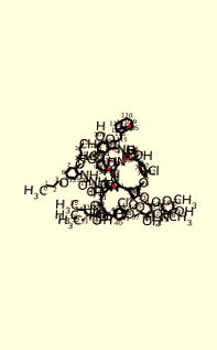 CCCCOc1ccc(OCCCC)c(NC(=O)NC(=O)C[C@@H]2CC(=O)[C@H](NC(=O)[C@H](CC)CC(C)C)[C@H](O)c3ccc(c(Cl)c3)Oc3cc4cc(c3O[C@@H]3O[C@H](CO)[C@@H](O)[C@H](O)[C@H]3O[C@H]3C[C@](C)(N)[C@H](O)[C@H](C)O3)Oc3ccc(cc3Cl)[C@@H](O)[C@@H]3NC(=O)[C@H](CC(=O)[C@@H]4NC2=O)c2ccc(O)c(c2)-c2c(O)cc(O)cc2[C@@H](C(=O)CC2C4CC5CC(C4)CC2C5)NC3=O)c1